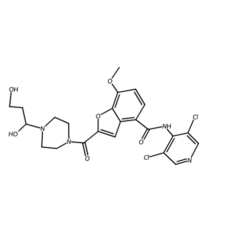 COc1ccc(C(=O)Nc2c(Cl)cncc2Cl)c2cc(C(=O)N3CCN(C(O)CCO)CC3)oc12